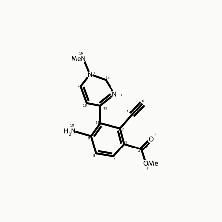 C#Cc1c(C(=O)OC)ccc(N)c1C1=NCN(NC)C=C1